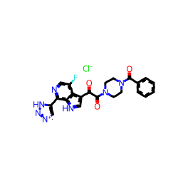 O=C(C(=O)N1CCN(C(=O)c2ccccc2)CC1)c1c[nH]c2c(C3=C[N+]=NN3)ncc(F)c12.[Cl-]